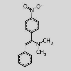 CN(C)C(=Cc1ccccc1)c1ccc([N+](=O)[O-])cc1